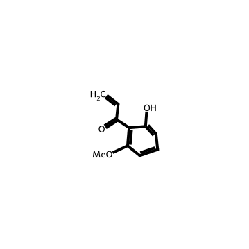 C=CC(=O)c1c(O)cccc1OC